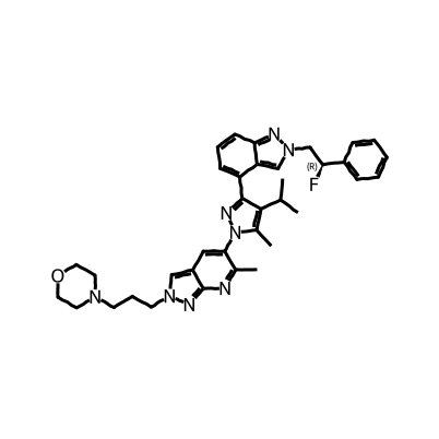 Cc1nc2nn(CCCN3CCOCC3)cc2cc1-n1nc(-c2cccc3nn(C[C@H](F)c4ccccc4)cc23)c(C(C)C)c1C